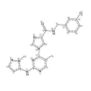 Cc1cnc(Nc2ccnn2C)nc1-n1cnc(C(=O)NCc2cccc(Cl)c2)c1